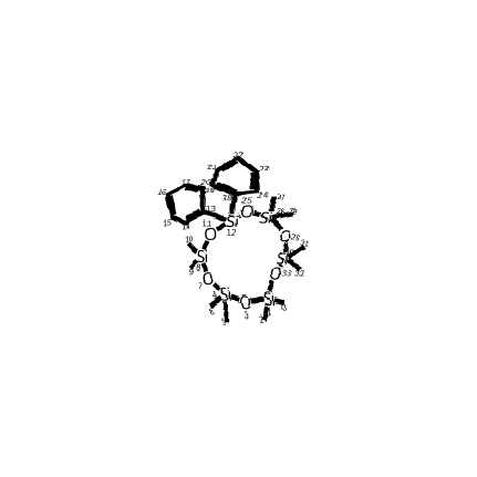 C[Si]1(C)O[Si](C)(C)O[Si](C)(C)O[Si](c2ccccc2)(c2ccccc2)O[Si](C)(C)O[Si](C)(C)O1